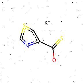 [K+].[O-]C(=S)c1cscn1